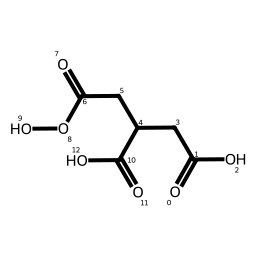 O=C(O)CC(CC(=O)OO)C(=O)O